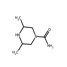 CC1CN(C(N)=O)CC(C)N1